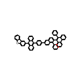 c1ccc(-c2c(-c3c(-c4ccccc4)c4ccccc4c4ccccc34)ccc3cc(-c4ccc(-c5c6ccccc6c(-c6ccc7oc8ccccc8c7c6)c6ccccc56)cc4)ccc23)cc1